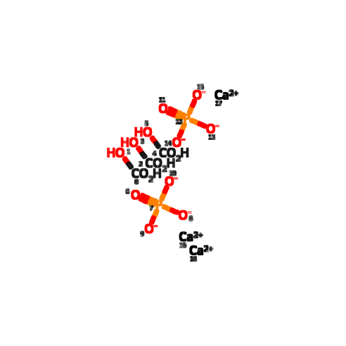 O=C(O)O.O=C(O)O.O=C(O)O.O=P([O-])([O-])[O-].O=P([O-])([O-])[O-].[Ca+2].[Ca+2].[Ca+2]